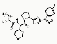 CN[C@@H](C)C(=O)N[C@H](C(=O)N1CCCC1c1nc(-c2noc3cc(F)ccc23)cs1)C1CCOCC1